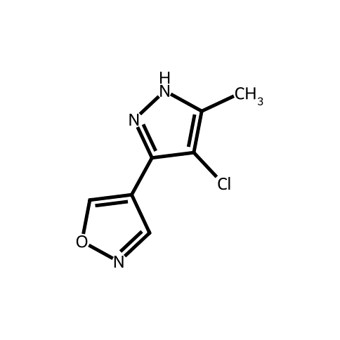 Cc1[nH]nc(-c2cnoc2)c1Cl